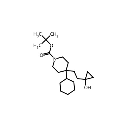 CC(C)(C)OC(=O)N1CCC(CCC2(O)CC2)(C2CCCCC2)CC1